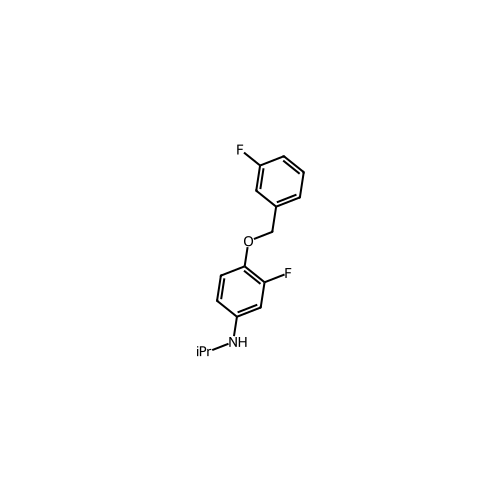 CC(C)Nc1ccc(OCc2cccc(F)c2)c(F)c1